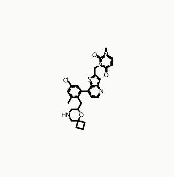 Cc1cc(Cl)cc(-c2ccnc3cc(Cn4c(=O)ccn(C)c4=O)sc23)c1CC1CNCC2(CCC2)O1